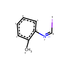 Cc1ccccc1/N=C\I